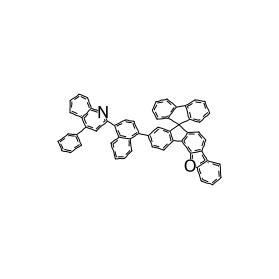 c1ccc(-c2cc(-c3ccc(-c4ccc5c(c4)C4(c6ccccc6-c6ccccc64)c4ccc6c(oc7ccccc76)c4-5)c4ccccc34)nc3ccccc23)cc1